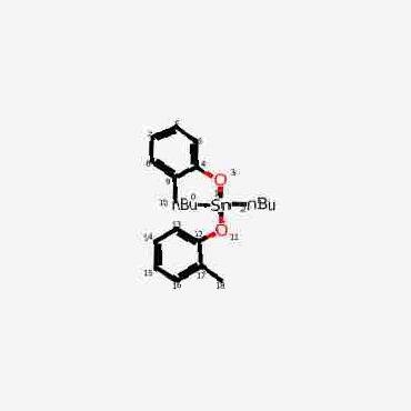 CCC[CH2][Sn]([CH2]CCC)([O]c1ccccc1C)[O]c1ccccc1C